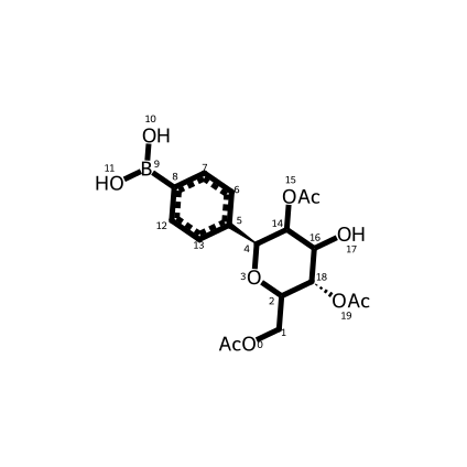 CC(=O)OCC1O[C@@H](c2ccc(B(O)O)cc2)C(OC(C)=O)C(O)[C@@H]1OC(C)=O